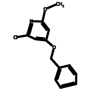 COc1cc(OCc2ccccc2)cc(Cl)n1